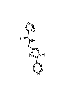 O=C(NCc1c[nH]c(-c2ccncc2)n1)c1cccs1